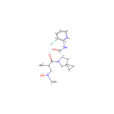 CCCCC(CN(O)C=O)C(=O)N1CC2(CC2)C[C@H]1C(=O)Nc1ncccc1F